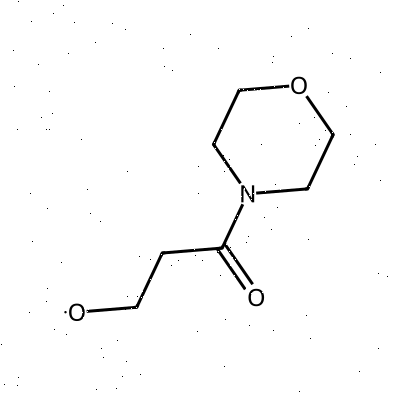 [O]CCC(=O)N1CCOCC1